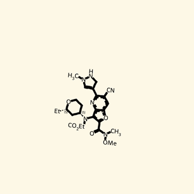 CCOC(=O)N(c1c(C(=O)N(C)OC)oc2cc(C#N)c(C3=CN(C)NC3)nc12)[C@H]1CCO[C@@H](CC)C1